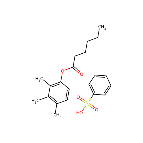 CCCCCC(=O)Oc1ccc(C)c(C)c1C.O=S(=O)(O)c1ccccc1